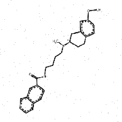 COc1ccc2c(c1)C[C@H](N(C)CCCCNC(=O)c1ccc3ccccc3c1)CC2